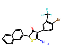 NC1=C(c2ccc(Br)c(C(F)(F)F)c2)C(=O)C(c2ccc3ccccc3c2)S1